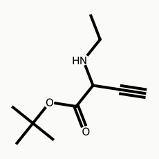 C#CC(NCC)C(=O)OC(C)(C)C